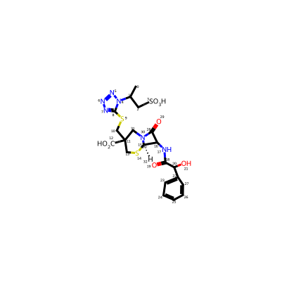 CC(CS(=O)(=O)O)n1nnnc1SCC1(C(=O)O)CS[C@@H]2C(NC(=O)C(O)c3ccccc3)C(=O)N2C1